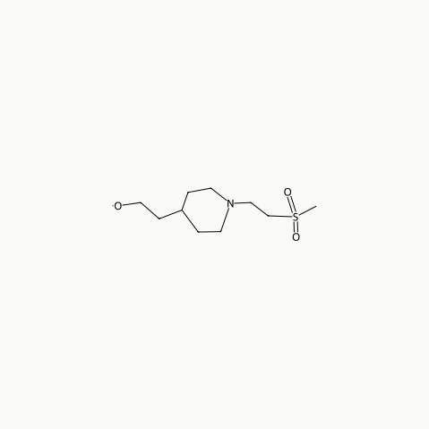 CS(=O)(=O)CCN1CCC(CC[O])CC1